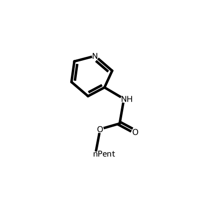 CCCCCOC(=O)Nc1cccnc1